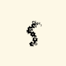 Nc1ncc(-c2ccc3ncc(-c4ccc(CN5CCC(C(=O)N6CCCC6)CC5)cc4)n3n2)cc1C(F)(F)F